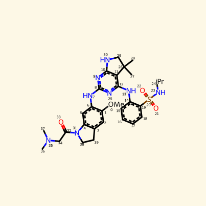 COc1cc2c(cc1Nc1nc3c(c(Nc4ccccc4S(=O)(=O)NC(C)C)n1)C(C)(C)CN3)N(C(=O)CN(C)C)CC2